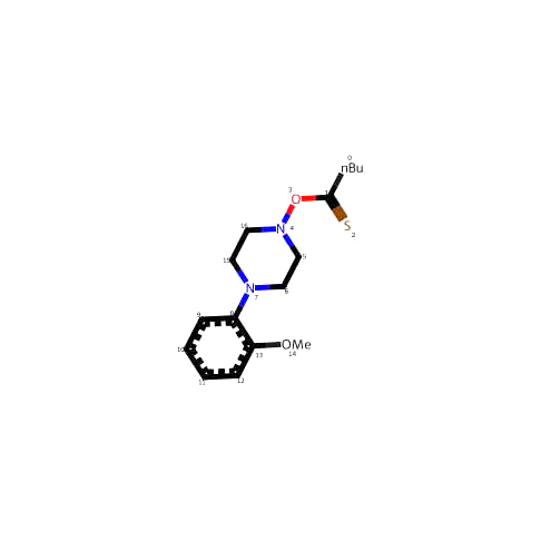 CCCCC(=S)ON1CCN(c2ccccc2OC)CC1